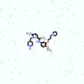 C=C(/C=C\C=C(/C)Nc1ccc(OC)c(OCCCN2CCCC2)c1)NCC1CCNCC1